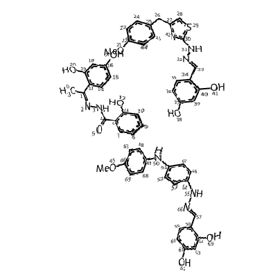 CC(=NNC(=O)c1ccccc1O)c1ccc(O)cc1O.COc1ccc(Cc2csc(NN=Cc3ccc(O)cc3O)n2)cc1.COc1ccc(Nc2ccc(NN=Cc3ccc(O)cc3O)cc2)cc1